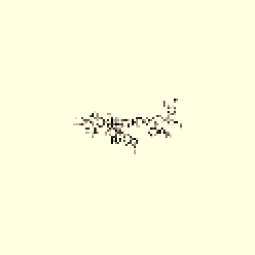 CC(C)Oc1ccccc1[C@@H]1CN([C@H](C)c2ccc(F)c(F)c2)CCN1C1CC2(CCN(c3ccc(C(=O)NS(=O)(=O)c4cc5c(c([N+](=O)[O-])c4)N[C@H](C4CCOCC4)CO5)c(N4c5cc6cc[nH]c6nc5O[C@H]5COCC[C@@H]54)c3)CC2)C1